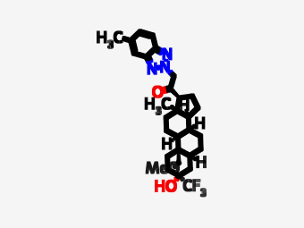 COC[C@]12CC[C@](O)(C(F)(F)F)C[C@H]1CC[C@H]1[C@@H]3CC[C@H](C(=O)Cn4nc5ccc(C)cc5n4)[C@@]3(C)CC[C@@H]12